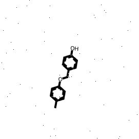 Cc1ccc(OCc2ccc(O)cc2)cc1